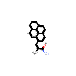 CC(=Cc1ccc2ccc3cccc4ccc1c2c34)C(N)=O